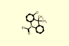 CCC(=O)N1c2ccccc2C(C)(C)c2c(Cl)cccc21